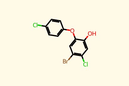 Oc1cc(Cl)c(Br)cc1Oc1ccc(Cl)cc1